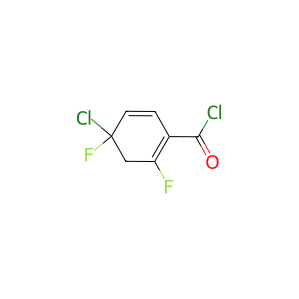 O=C(Cl)C1=C(F)CC(F)(Cl)C=C1